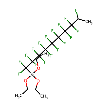 CCO[Si](OCC)(OCC)C(F)(F)C(F)(F)C(F)(F)C(F)(F)C(F)(F)C(F)(F)C(F)(F)C(F)(F)C(C)F